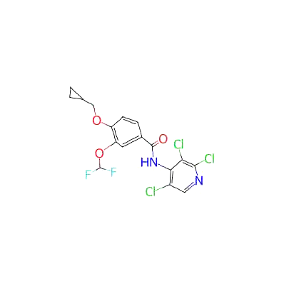 O=C(Nc1c(Cl)cnc(Cl)c1Cl)c1ccc(OCC2CC2)c(OC(F)F)c1